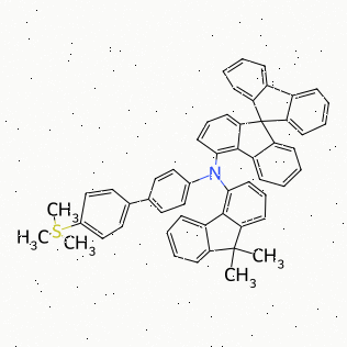 CC1(C)c2ccccc2-c2c(N(c3ccc(-c4ccc(S(C)(C)C)cc4)cc3)c3cccc4c3-c3ccccc3C43c4ccccc4-c4ccccc43)cccc21